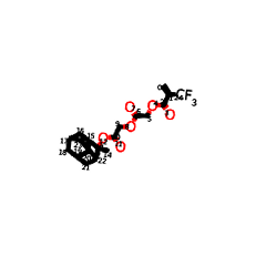 C=C(C(=O)OCC(=O)OCC(=O)OC1(C)C2CC3CC(C2)CC1C3)C(F)(F)F